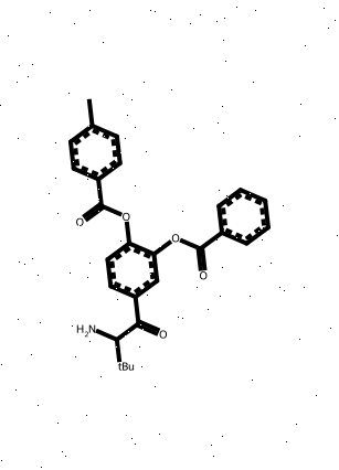 Cc1ccc(C(=O)Oc2ccc(C(=O)C(N)C(C)(C)C)cc2OC(=O)c2ccccc2)cc1